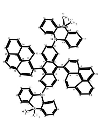 C[Si]1(C)c2ccccc2N(c2ccc3c(-c4ccc5ccc6cccc7ccc4c5c67)c4cc(N5c6ccccc6[Si](C)(C)c6ccccc65)ccc4c(-c4ccc5ccc6cccc7ccc4c5c67)c3c2)c2ccccc21